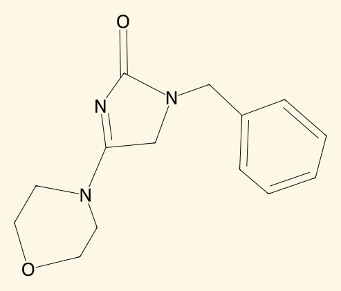 O=C1N=C(N2CCOCC2)CN1Cc1ccccc1